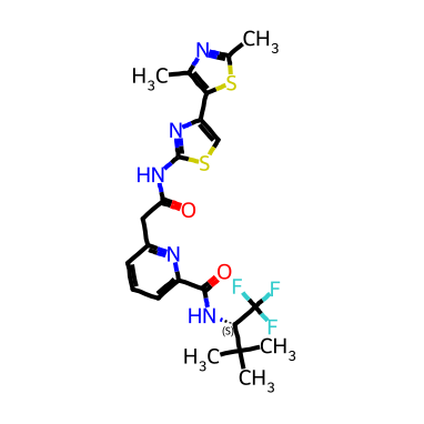 Cc1nc(C)c(-c2csc(NC(=O)Cc3cccc(C(=O)N[C@@H](C(C)(C)C)C(F)(F)F)n3)n2)s1